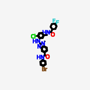 Cn1c(Nc2cc(CNC(=O)C3CCC(F)(F)CC3)ccc2Cl)nc2cc(C(=O)Nc3ccc(Br)cc3)ccc21